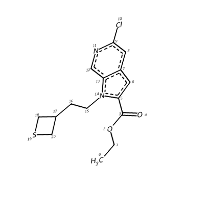 CCOC(=O)c1cc2cc(Cl)ncc2n1CCC1CSC1